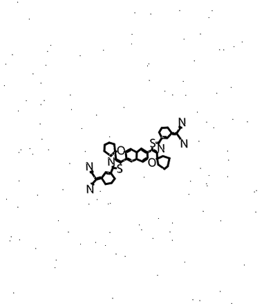 N#CC(C#N)=C1C=C(c2nc3c(s2)C2=CC4C=C5OC6(CCCCC6)c6nc(C7=CC(=C(C#N)C#N)CCC7)sc6C5=CC4C=C2OC32CCCCC2)CCC1